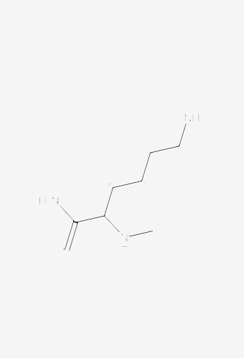 C=C(N)C(CCCCN)NC